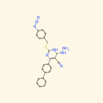 N#CC1=C(c2ccc(-c3ccccc3)cc2)N=C(SCc2ccc(N=[N+]=[N-])cc2)NC1NN